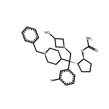 NC(=O)O[C@H]1CCC[C@@H]1C(CN1CC(O)C1)(c1cccc(F)c1)C1CCN(Cc2ccccc2)CC1